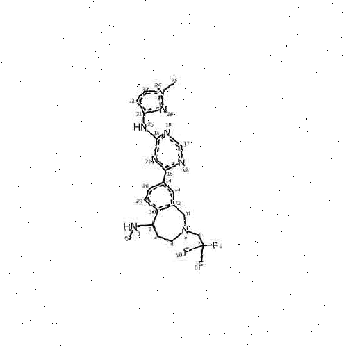 CNC1CCN(CC(F)(F)F)Cc2cc(-c3ncnc(Nc4ccn(C)n4)n3)ccc21